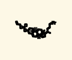 C=CCOC(=O)OC1CC[C@@]2(C)C(=CC[C@H]3[C@@H]4CC[C@H]([C@H](C)CCCC(C)C)[C@@]4(C)CC[C@@H]32)C1